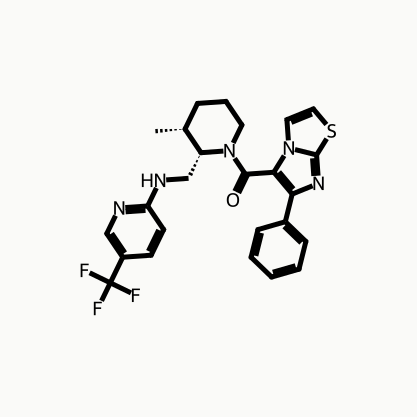 C[C@@H]1CCCN(C(=O)c2c(-c3ccccc3)nc3sccn23)[C@@H]1CNc1ccc(C(F)(F)F)cn1